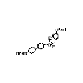 CCCCCc1ccc(CC(F)(F)OCc2ccc(C3CCC(CCCCC)CC3)cc2)c(F)c1